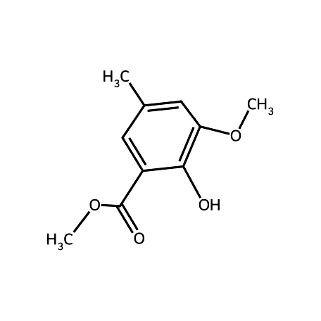 COC(=O)c1cc(C)cc(OC)c1O